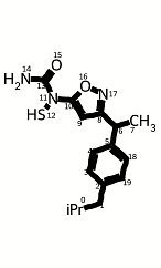 CC(C)Cc1ccc(C(C)c2cc(N(S)C(N)=O)on2)cc1